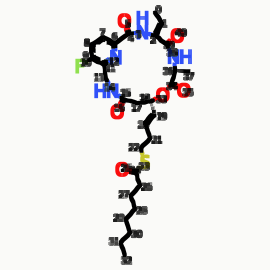 C/C=C1\NC(=O)c2ccc(F)c(n2)CNC(=O)C[C@@H](/C=C/CCSC(=O)CCCCCCC)OC(=O)[C@H](C)NC1=O